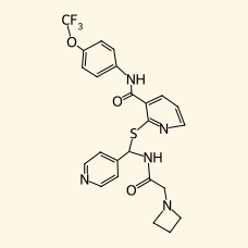 O=C(CN1CCC1)NC(Sc1ncccc1C(=O)Nc1ccc(OC(F)(F)F)cc1)c1ccncc1